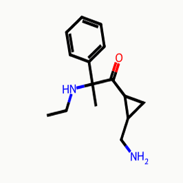 CCNC(C)(C(=O)C1CC1CN)c1ccccc1